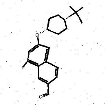 CC(C)(C)[C@H]1CC[C@H](Oc2cc(I)c3cc(C=O)ccc3c2)CC1